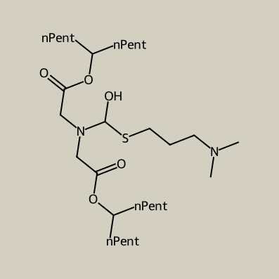 CCCCCC(CCCCC)OC(=O)CN(CC(=O)OC(CCCCC)CCCCC)C(O)SCCCN(C)C